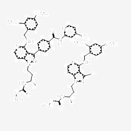 COc1ccc(CNc2nccc3c2c(-c2ccc(C(=O)Nc4cc(C(F)(F)F)ccn4)cc2)nn3CC[C@@H](C)NC(=O)OC(C)(C)C)c(OC)c1.COc1ccc(CNc2nccc3c2c(I)nn3CC[C@@H](C)NC(=O)OC(C)(C)C)c(OC)c1